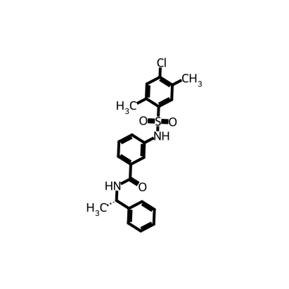 Cc1cc(S(=O)(=O)Nc2cccc(C(=O)N[C@@H](C)c3ccccc3)c2)c(C)cc1Cl